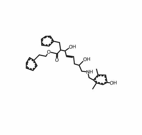 Cc1cc(O)cc(C)c1CNCC(O)CC=CC(O)C(Cc1ccccc1)C(=O)OCCc1ccccc1